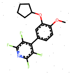 COc1ccc(-c2c(F)c(F)nc(F)c2F)cc1OC1CCCC1